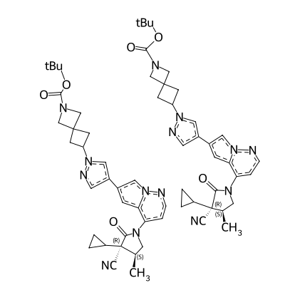 C[C@@H]1CN(c2ccnn3cc(-c4cnn(C5CC6(C5)CN(C(=O)OC(C)(C)C)C6)c4)cc23)C(=O)[C@]1(C#N)C1CC1.C[C@@H]1CN(c2ccnn3cc(-c4cnn(C5CC6(C5)CN(C(=O)OC(C)(C)C)C6)c4)cc23)C(=O)[C@]1(C#N)C1CC1